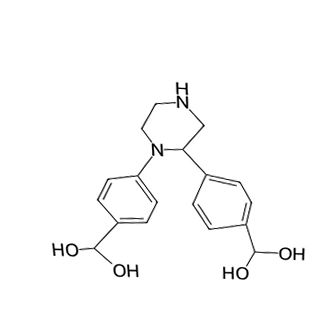 OC(O)c1ccc(C2CNCCN2c2ccc(C(O)O)cc2)cc1